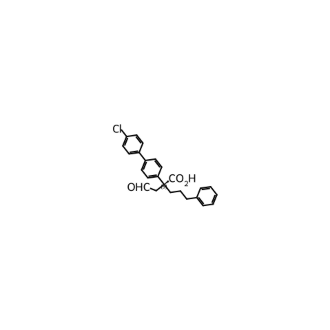 O=CC[C@](CCCc1ccccc1)(C(=O)O)c1ccc(-c2ccc(Cl)cc2)cc1